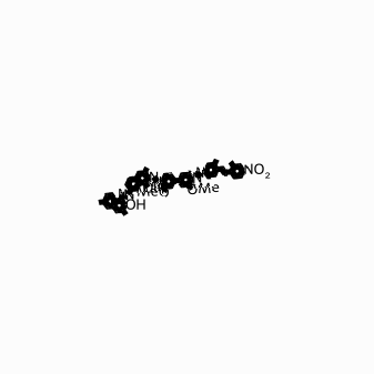 COc1cc(-c2ccc(N=Nc3c(C)cc4ccc(N=Nc5c(O)c(C)cc6cc(C)ccc56)cc4c3O)c(OC)c2)ccc1N=Nc1ccc(C=Cc2ccc([N+](=O)[O-])cc2C)c(C)c1